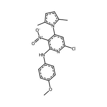 COc1ccc(Nc2nc(Cl)cc(-n3c(C)ccc3C)c2[N+](=O)[O-])cc1